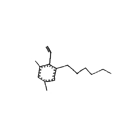 CCCCCCc1cc(O)cc(O)c1C=O